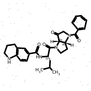 CC(C)C[C@H](NC(=O)c1ccc2c(c1)CCCN2)C(=O)N1CC[C@@H]2[C@H]1C(=O)CN2C(=O)c1ccccc1